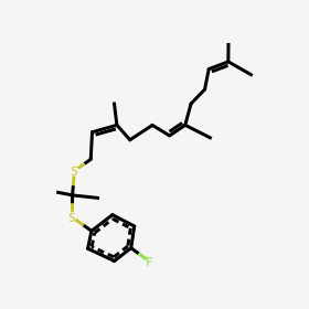 CC(C)=CCCC(C)=CCCC(C)=CCSC(C)(C)Sc1ccc(F)cc1